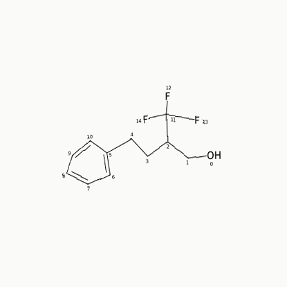 OCC(CCc1ccccc1)C(F)(F)F